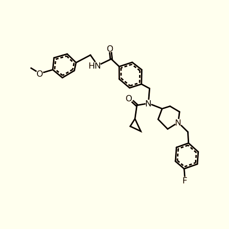 COc1ccc(CNC(=O)c2ccc(CN(C(=O)C3CC3)C3CCN(Cc4ccc(F)cc4)CC3)cc2)cc1